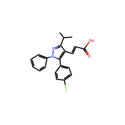 CC(C)c1nn(-c2ccccc2)c(-c2ccc(F)cc2)c1C=CC(=O)O